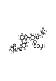 O=C(O)COc1cc(-c2sc3ccccc3c2Cc2ccc(OCCN3CCCC3=O)cc2)ccc1OCCN1CCCC1